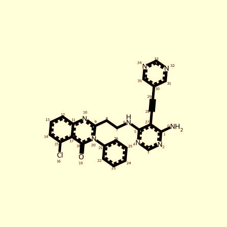 Nc1ncnc(NCCc2nc3cccc(Cl)c3c(=O)n2-c2ccccc2)c1C#Cc1cncnc1